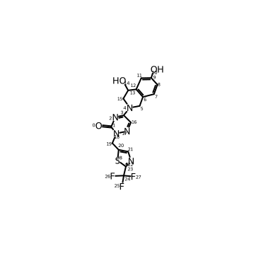 O=c1nc(N2Cc3ccc(O)cc3C(O)C2)cnn1Cc1cnc(C(F)(F)F)s1